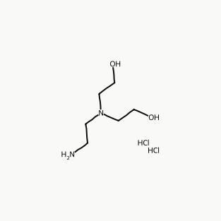 Cl.Cl.NCCN(CCO)CCO